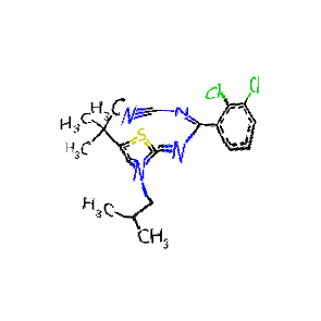 CC(C)Cn1cc(C(C)(C)C)s/c1=N\C(=NC#N)c1cccc(Cl)c1Cl